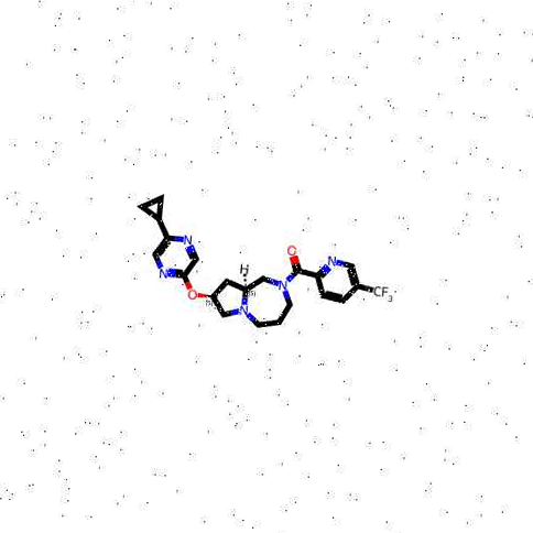 O=C(c1ccc(C(F)(F)F)cn1)N1CCCN2C[C@@H](Oc3cnc(C4CC4)cn3)C[C@H]2C1